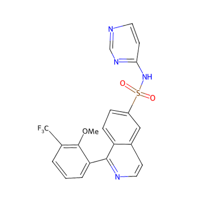 COc1c(-c2nccc3cc(S(=O)(=O)Nc4ccncn4)ccc23)cccc1C(F)(F)F